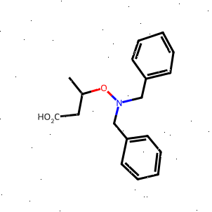 CC(CC(=O)O)ON(Cc1ccccc1)Cc1ccccc1